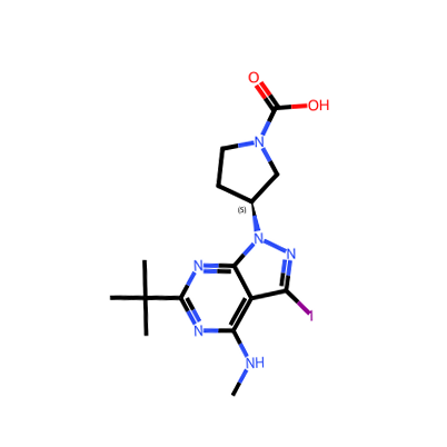 CNc1nc(C(C)(C)C)nc2c1c(I)nn2[C@H]1CCN(C(=O)O)C1